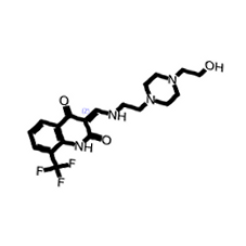 O=C1Nc2c(cccc2C(F)(F)F)C(=O)/C1=C/NCCN1CCN(CCO)CC1